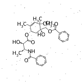 CC1=CC(C)(C)[C@](O)([C@H](C)OC(=O)c2ccccc2)C[C@@H]1OC(=O)[C@H](O)[C@H](C)NC(=O)c1ccccc1